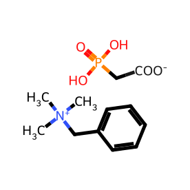 C[N+](C)(C)Cc1ccccc1.O=C([O-])CP(=O)(O)O